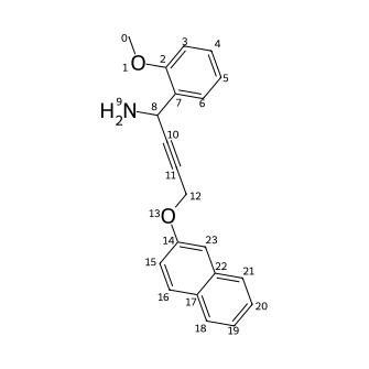 COc1ccccc1C(N)C#CCOc1ccc2ccccc2c1